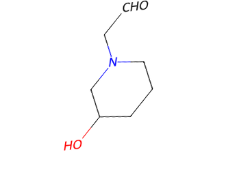 O=CCN1CCCC(O)C1